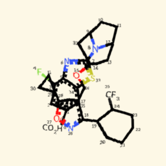 O=C(O)c1cc(F)c2nc(N3C4CCC3CC(OCc3c(C5CCCCC5C(F)(F)F)noc3C3CC3)C4)sc2c1